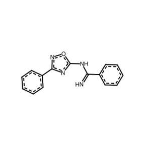 N=C(Nc1nc(-c2ccccc2)no1)c1ccccc1